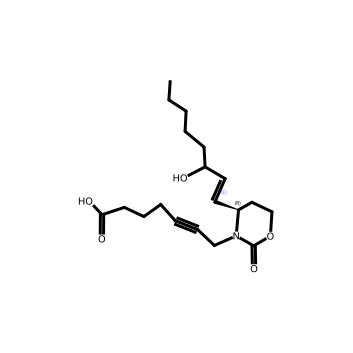 CCCCCC(O)/C=C/[C@H]1CCOC(=O)N1CC#CCCCC(=O)O